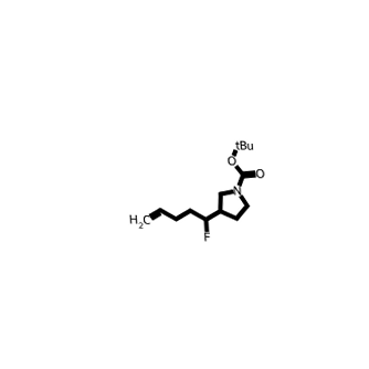 C=CCCC(F)C1CCN(C(=O)OC(C)(C)C)C1